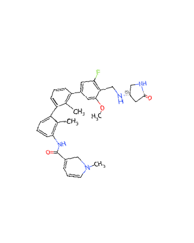 COc1cc(-c2cccc(-c3cccc(NC(=O)C4=CC=CN(C)C4)c3C)c2C)cc(F)c1CN[C@@H]1CNC(=O)C1